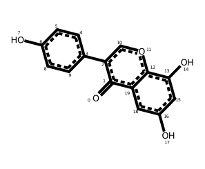 O=c1c(-c2ccc(O)cc2)coc2c(O)cc(O)cc12